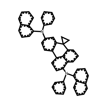 c1ccc(N(c2ccc3c(c2)C2(CC2)c2cccc4c(N(c5ccccc5)c5cccc6ccccc56)ccc-3c24)c2cccc3ccccc23)cc1